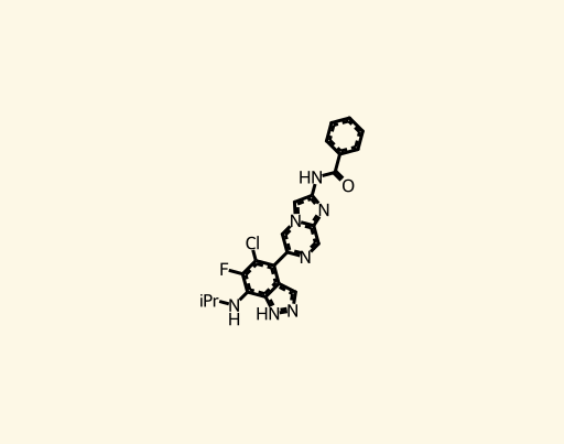 CC(C)Nc1c(F)c(Cl)c(-c2cn3cc(NC(=O)c4ccccc4)nc3cn2)c2cn[nH]c12